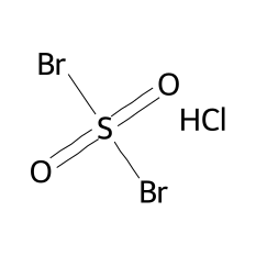 Cl.O=S(=O)(Br)Br